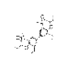 CCc1cc(-c2cc(CC)c(OC(CC)C3CO3)c(CC)c2)cc(CC)c1OC(CC)C1CO1